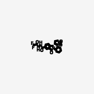 O=C(NNC(=O)C(F)F)c1ccc2c(c1)C(=O)N([C@@H]1CCCC[C@H]1N1CCCS1(=O)=O)C2